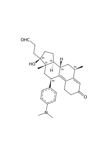 C[C@@H]1C[C@@H]2C(=C3CCC(=O)C=C31)[C@@H](c1ccc(N(C)C)cc1)C[C@@]1(C)[C@H]2CC[C@@]1(O)CCC=O